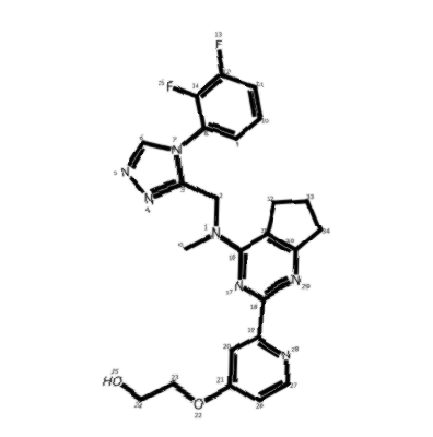 CN(Cc1nncn1-c1cccc(F)c1F)c1nc(-c2cc(OCCO)ccn2)nc2c1CCC2